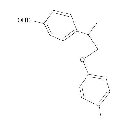 Cc1ccc(OCC(C)c2ccc(C=O)cc2)cc1